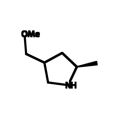 COCC1CN[C@H](C)C1